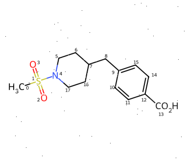 CS(=O)(=O)N1CCC(Cc2ccc(C(=O)O)cc2)CC1